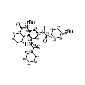 CC(C)(C)N(C(=O)C1CCCCC1)c1cc(NC(=O)C2CCCCC2)cc(NC(=O)[C@H]2CC[C@@H](C(C)(C)C)CC2)c1